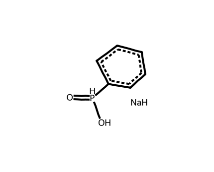 O=[PH](O)c1ccccc1.[NaH]